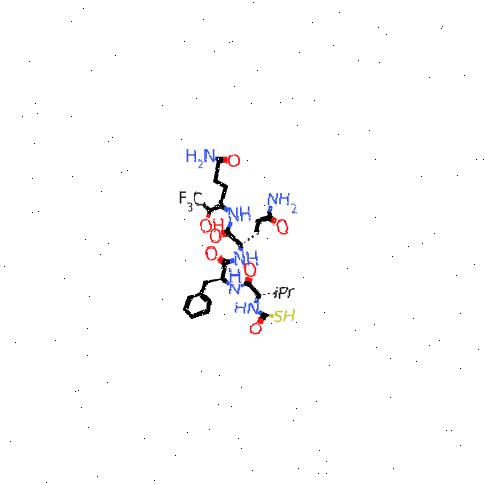 CC(C)[C@H](NC(=O)S)C(=O)N[C@@H](Cc1ccccc1)C(=O)N[C@@H](CCC(N)=O)C(=O)NC(CCC(N)=O)C(O)C(F)(F)F